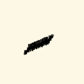 C=CCCC(F)(F)C(F)(F)C(F)(F)C(F)(F)C(F)(F)C(F)(F)C(F)(F)C(F)(F)C(F)(F)C(F)(F)CC=C